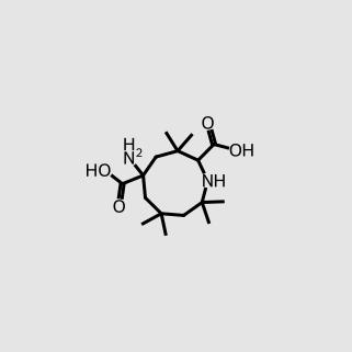 CC1(C)CC(C)(C)NC(C(=O)O)C(C)(C)CC(N)(C(=O)O)C1